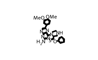 COc1ccc(-c2cnc3nc(N)nc(N4CCNCC4C(=S)Oc4ccccc4)c3n2)cc1OC